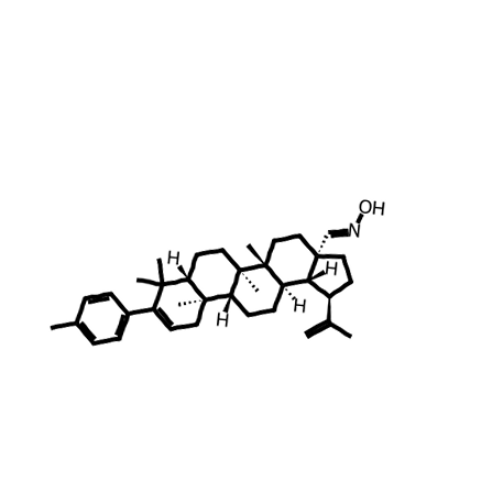 C=C(C)[C@@H]1CC[C@]2(/C=N/O)CC[C@]3(C)[C@H](CC[C@@H]4[C@@]5(C)CC=C(c6ccc(C)cc6)C(C)(C)[C@@H]5CC[C@]43C)[C@@H]12